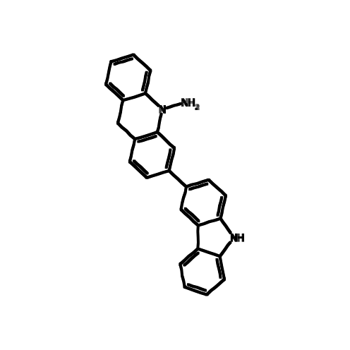 NN1c2ccccc2Cc2ccc(-c3ccc4[nH]c5ccccc5c4c3)cc21